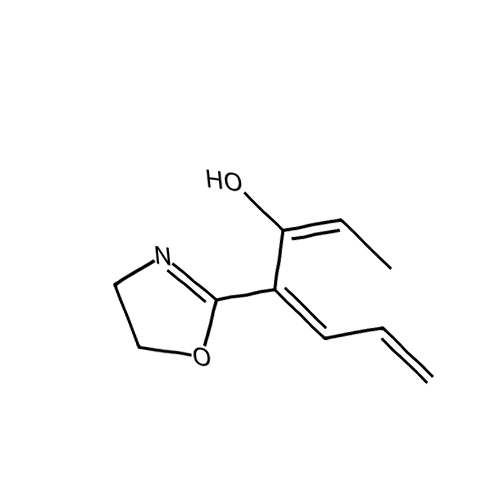 C=C/C=C(C1=NCCO1)\C(O)=C/C